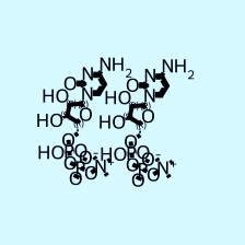 C[N+](C)(C)OP(=O)([O-])OP(=O)(O)OC[C@H]1O[C@@H](n2ccc(N)nc2=O)[C@H](O)[C@@H]1O.C[N+](C)(C)OP(=O)([O-])OP(=O)(O)OC[C@H]1O[C@@H](n2ccc(N)nc2=O)[C@H](O)[C@@H]1O